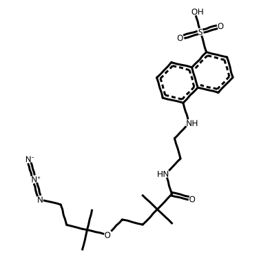 CC(C)(CCN=[N+]=[N-])OCCC(C)(C)C(=O)NCCNc1cccc2c(S(=O)(=O)O)cccc12